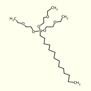 CCCCCCCCCCCCCC[Si](OCCOCC)(OCCOCC)OCCOCC